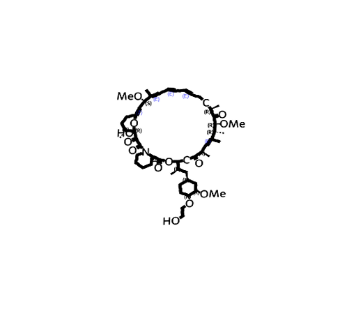 CO[C@H]1/C=C2/CC[C@@H](C)[C@@](O)(O2)C(=O)C(=O)N2CCCC[C@H]2C(=O)OC([C@H](C)C[C@@H]2CC[C@@H](OCCO)[C@H](OC)C2)CC(=O)[C@H](C)/C=C(\C)[C@@H](C)[C@@H](OC)C(=O)[C@H](C)CC/C=C/C=C/C=C/1C